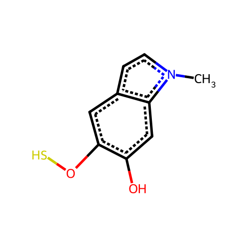 Cn1ccc2cc(OS)c(O)cc21